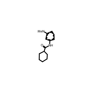 CNc1cccc(NC(=O)C2CCCCC2)c1